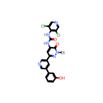 CCn1nc(-c2cncc(-c3cccc(O)c3)c2)cc(NC(=O)Nc2c(Cl)cncc2Cl)c1=O